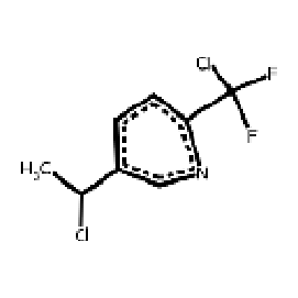 CC(Cl)c1ccc(C(F)(F)Cl)nc1